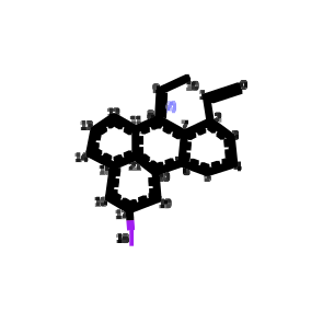 C=Cc1cccc2c1/c(=C\C)c1cccc3cc(I)cc2c31